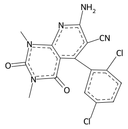 Cn1c(=O)c2c(-c3cc(Cl)ccc3Cl)c(C#N)c(N)nc2n(C)c1=O